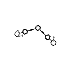 C(#Cc1cccc(C#Cc2ccc(C3=NCCCN3)cc2)c1)c1ccc(C2=NCCCN2)cc1